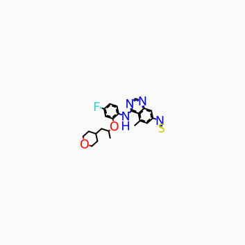 Cc1cc(N=S)cc2ncnc(Nc3ccc(F)cc3OC(C)CC3CCOCC3)c12